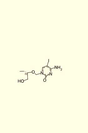 CC[C@@H](CO)OCn1cc(I)c(N)nc1=O